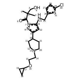 CC(C)(CO)C(=O)n1nc(C2CCN(CCOC3CC3)CC2)cc1NCc1ccc(Cl)s1